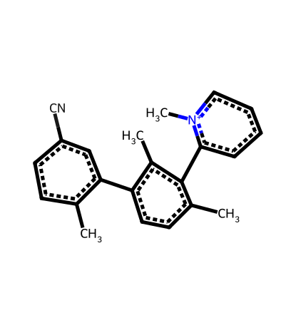 Cc1ccc(C#N)cc1-c1ccc(C)c(-c2cccc[n+]2C)c1C